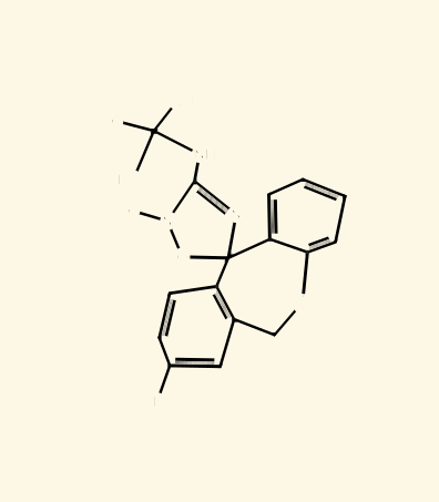 CN1OC2(N=C1NC(C)(C)C)c1ccc(F)cc1COc1ccccc12